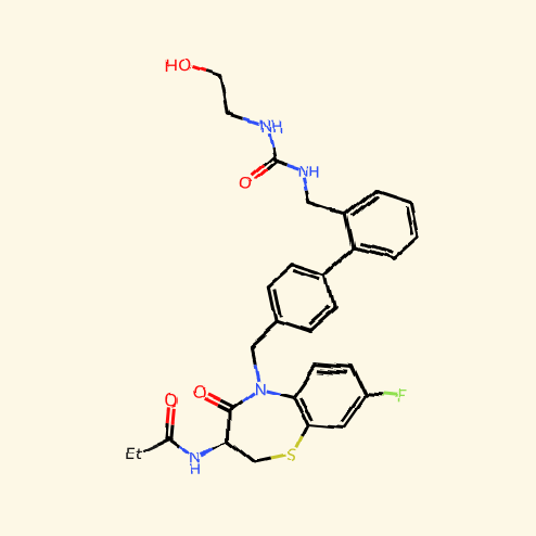 CCC(=O)N[C@@H]1CSc2cc(F)ccc2N(Cc2ccc(-c3ccccc3CNC(=O)NCCO)cc2)C1=O